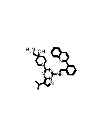 CC(C)c1cnn2c(NCc3ccccc3-c3ccc4ccccc4n3)nc(N3CCC(O)(CN)CC3)nc12